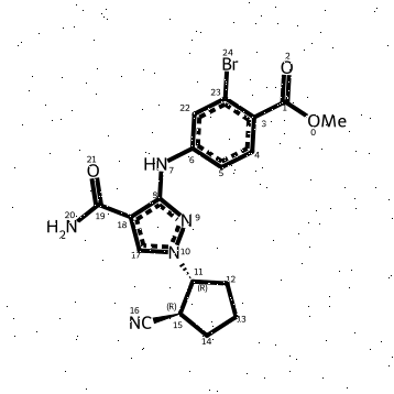 COC(=O)c1ccc(Nc2nn([C@@H]3CCC[C@H]3C#N)cc2C(N)=O)cc1Br